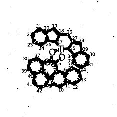 O=C([O][Ti]1([O]C(=O)c2cccc3ccccc23)[CH]2C(=Cc3ccccc32)CC2=Cc3ccccc3[CH]21)c1cccc2ccccc12